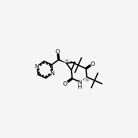 CC(C)(C)C(=O)[C@@H](NC(=O)C1C[C@@H]1C(=O)c1cnccn1)C(C)(C)C